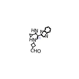 N=C(/C(=C\NC1CC(C=O)C1)c1cnc2ccccc2n1)C1CC1